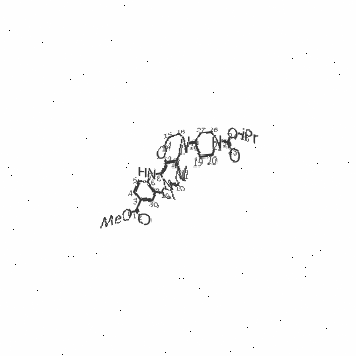 COC(=O)c1ccc(Nc2ncnc3c2OCCN3C2CCN(C(=O)OC(C)C)CC2)c(Cl)c1